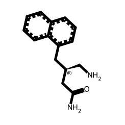 NC[C@@H](CC(N)=O)Cc1cccc2ccccc12